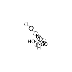 O=S1(=O)CCc2nc(N3CCC(c4ccc(Cl)cc4)CC3)nc(NC3(CO)CC3)c21